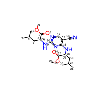 COC(=O)[C@H](CC(C)C)Nc1ncc(C#N)c(N[C@@H](CC(C)C)C(=O)OC)n1